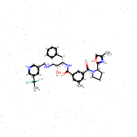 Cc1cc(C(=O)N[C@@H](Cc2ccccc2)[C@H](O)CNCc2cncc(C(C)(F)F)c2)cc(C(=O)N2CCCC2c2nc(C)co2)c1